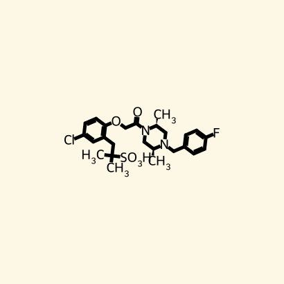 C[C@@H]1CN(Cc2ccc(F)cc2)[C@@H](C)CN1C(=O)COc1ccc(Cl)cc1CC(C)(C)S(=O)(=O)O